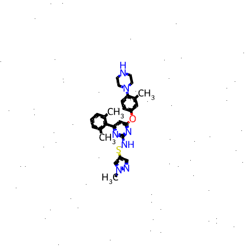 Cc1cc(Oc2cc(-c3c(C)cccc3C)nc(NSc3cnn(C)c3)n2)ccc1N1CCNCC1